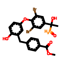 COC(=O)c1ccc(Cc2cc(Oc3c(Br)cc(C(C)(O)[PH2]=O)cc3Br)ccc2O)cc1